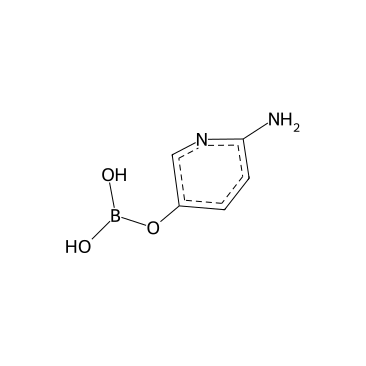 Nc1ccc(OB(O)O)cn1